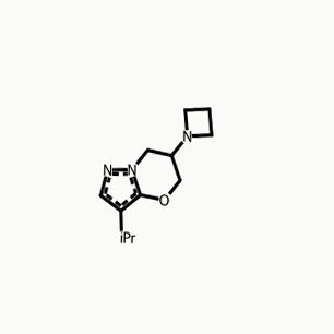 CC(C)c1cnn2c1OCC(N1CCC1)C2